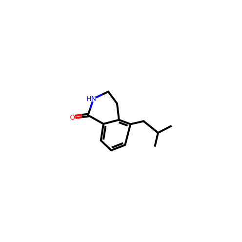 CC(C)Cc1cccc2c1CCNC2=O